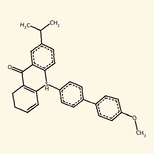 COc1ccc(-c2ccc([SH]3C4=C(CCC=C4)C(=O)c4cc(C(C)C)ccc43)cc2)cc1